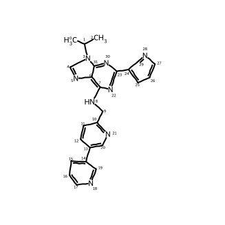 CC(C)n1cnc2c(NCc3ccc(-c4cccnc4)cn3)nc(-c3cccnc3)nc21